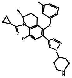 Cc1cccc(Oc2c(-c3cnn(C4CCNCC4)c3)cc(F)c3c2CC[C@H](C)N3C(=O)C2CC2)c1